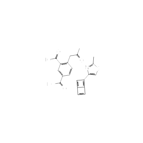 CC(=O)Cc1ccc(C(=O)O)cc1C(=O)O.Cc1nc(-c2cc3ccc2-3)cs1